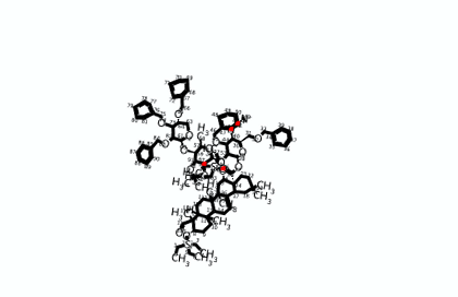 CC[Si](CC)(CC)O[C@H]1CCC2(C)C3CC=C4C5CC(C)(C)CC[C@]5(C(=O)O[C@@H]5O[C@H](COCc6ccccc6)[C@H](N=[N+]=[N-])C(OCc6ccccc6)C5O[C@@H]5O[C@H](C)[C@H](O[C@@H]6OC[C@@H](OCc7ccccc7)C(OCc7ccccc7)C6OCc6ccccc6)C6OC(C)(C)OC65)[C@@H](O[Si](CC)(CC)CC)C[C@@]4(C)C3(C)CC[C@H]2[C@@]1(C)C=O